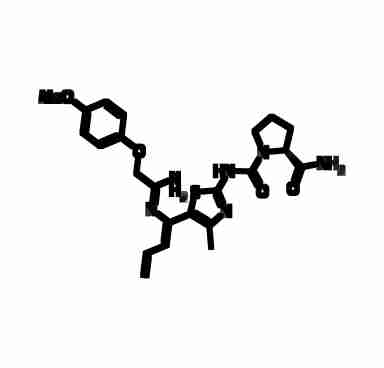 C=C/C=C(\N=C(/N)COc1ccc(OC)cc1)c1sc(NC(=O)N2CCC[C@H]2C(N)=O)nc1C